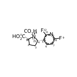 O=C(O)[C@H]1CC[C@@H](c2ccc(F)nc2F)N1C(=O)O